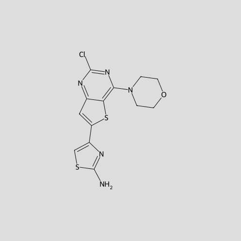 Nc1nc(-c2cc3nc(Cl)nc(N4CCOCC4)c3s2)cs1